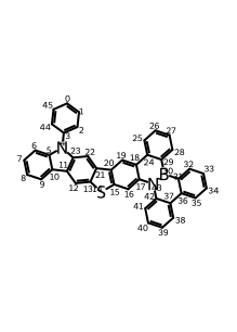 c1ccc(-n2c3ccccc3c3cc4sc5cc6c(cc5c4cc32)-c2ccccc2B2c3ccccc3-c3ccccc3N26)cc1